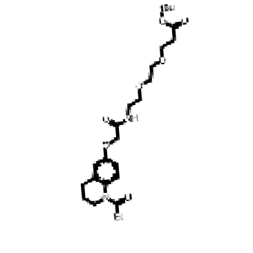 CCC(=O)N1CCCc2cc(OCC(=O)NCCOCCOCCC(=O)OC(C)(C)C)ccc21